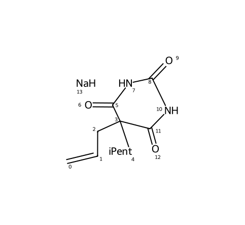 C=CCC1(C(C)CCC)C(=O)NC(=O)NC1=O.[NaH]